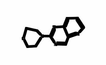 c1cnc2cnc(N3CCOCC3)nc2c1